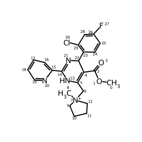 COC(=O)C1=C(C[N+]2(C)CCCC2)NC(c2ccccn2)=NC1c1ccc(F)cc1Cl